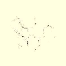 c1cnc(NC2CCC2)c(-c2cnn3ccc(N4CCNCC4)nc23)c1